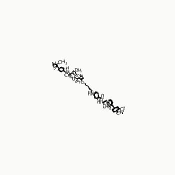 Cc1ncsc1-c1ccc([C@H](C)NC(=O)C2C[C@@H](O)CN2C(=O)C(c2oncc2OCCCCCNc2ccc(C(=O)N[C@@H](C)Cn3ccc(-c4ccc(C#N)c(Cl)c4)n3)cc2)C(C)C)cc1